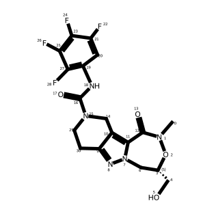 CN1O[C@H](CO)Cn2nc3c(c2C1=O)CN(C(=O)Nc1cc(F)c(F)c(F)c1F)CC3